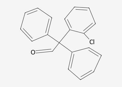 O=CC(c1ccccc1)(c1ccccc1)c1ccccc1Cl